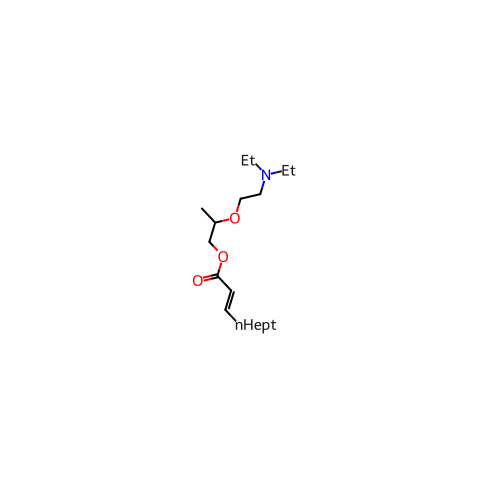 CCCCCCC/C=C/C(=O)OCC(C)OCCN(CC)CC